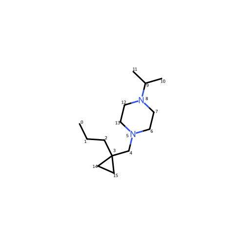 CCCC1(CN2CCN(C(C)C)CC2)CC1